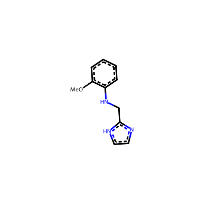 COc1ccccc1NCc1ncc[nH]1